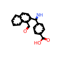 N=C(c1ccc(C(=O)O)cc1)c1ccc2ccccc2c1C=O